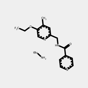 CC(C)(C)N.Cc1cc(CNC(=O)c2ccncc2)ncc1OCC(F)(F)F